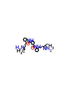 CCC(N)CCCc1ccccc1NC(=O)c1cccc(C(=O)Nc2ccccc2CCCC(N)CC)c1